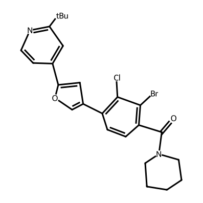 CC(C)(C)c1cc(-c2cc(-c3ccc(C(=O)N4CCCCC4)c(Br)c3Cl)co2)ccn1